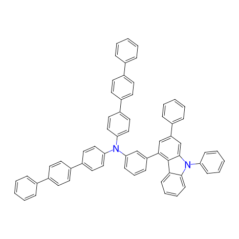 c1ccc(-c2ccc(-c3ccc(N(c4ccc(-c5ccc(-c6ccccc6)cc5)cc4)c4cccc(-c5cc(-c6ccccc6)cc6c5c5ccccc5n6-c5ccccc5)c4)cc3)cc2)cc1